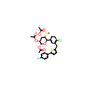 CS[C@H]1C(C2=CC(Cc3ccc(-c4ccc(F)cc4)s3)=C(Cl)CC2)O[C@H](OC(C)=O)[C@@H](OC(C)=O)[C@@H]1OC(C)=O